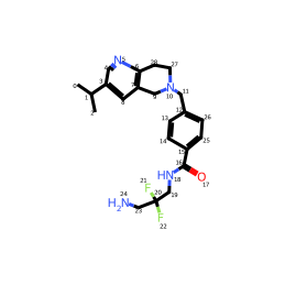 CC(C)c1cnc2c(c1)CN(Cc1ccc(C(=O)NCC(F)(F)CN)cc1)CC2